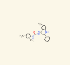 Cc1ccc(NC(=O)NN=C2CC(c3ccccc3)Nc3ccc(C)cc32)c(C)c1